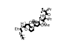 CC[C@@H](CN=[N+]=[N-])NC(=O)[C@H](C)[C@@H](OC)[C@@H]1CCCN1C(=O)C[C@@H](OC)[C@H]([C@@H](C)CC)N(C)C(=O)[C@@H](NC(=O)[C@H](C(C)C)N(C)C)C(C)C